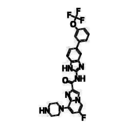 O=C(Nc1nc2cc(-c3cccc(OC(F)(F)F)c3)ccc2[nH]1)c1cn2cc(F)cc(N3CCNCC3)c2n1